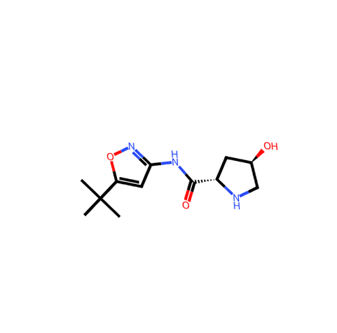 CC(C)(C)c1cc(NC(=O)[C@@H]2C[C@@H](O)CN2)no1